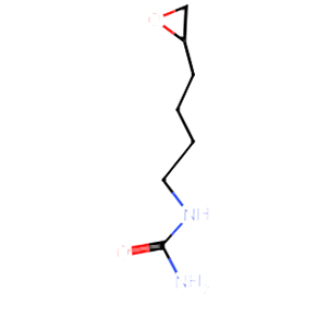 NC(=O)NCCCCC1CO1